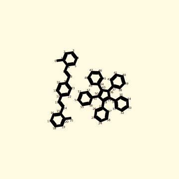 Cc1ccccc1/C=C/c1ccc(/C=C/c2ccccc2C)cc1.c1ccc(C2=C(c3ccccc3)C(c3ccccc3)C(c3ccccc3)=C2c2ccccc2)cc1